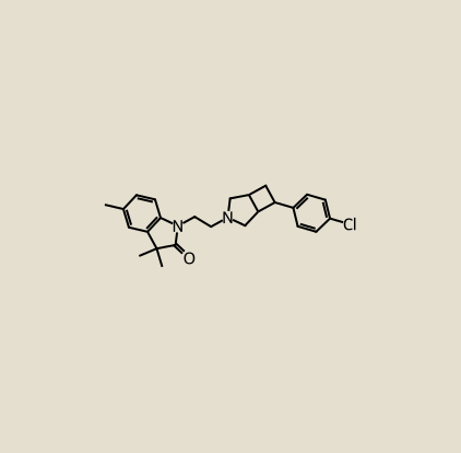 Cc1ccc2c(c1)C(C)(C)C(=O)N2CCN1CC2CC(c3ccc(Cl)cc3)C2C1